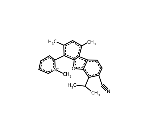 Cc1cc(C)c2c(oc3c(C(C)C)c(C#N)ccc32)c1-c1cccc[n+]1C